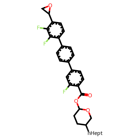 CCCCCCCC1CCC(OC(=O)c2ccc(-c3ccc(-c4ccc(C5CO5)c(F)c4F)cc3)cc2F)OC1